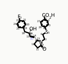 O=C(O)c1ccc(SCCN2C(=O)CC[C@@H]2/C=C/[C@@H](O)Cc2ccc(F)cc2)cc1